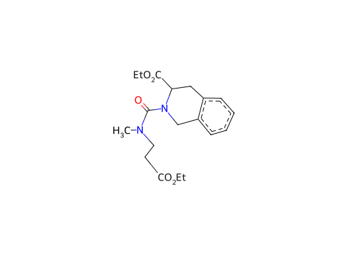 CCOC(=O)CCN(C)C(=O)N1Cc2ccccc2CC1C(=O)OCC